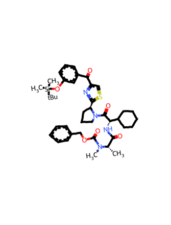 C[C@@H](C(=O)N[C@H](C(=O)N1CCC[C@H]1c1nc(C(=O)c2cccc(O[Si](C)(C)C(C)(C)C)c2)cs1)C1CCCCC1)N(C)C(=O)OCc1ccccc1